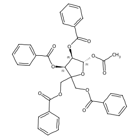 CC(=O)O[C@@H]1OC(COC(=O)c2ccccc2)(COC(=O)c2ccccc2)[C@@H](OC(=O)c2ccccc2)[C@H]1OC(=O)c1ccccc1